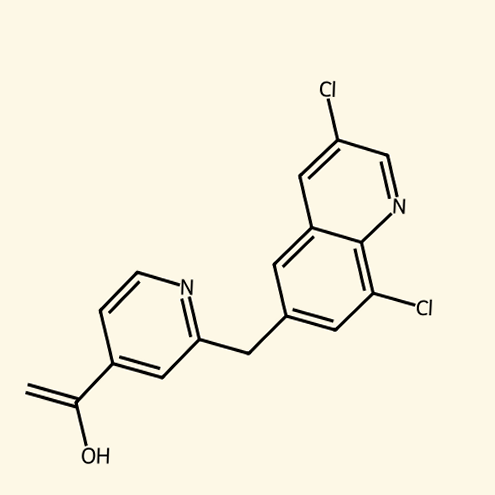 C=C(O)c1ccnc(Cc2cc(Cl)c3ncc(Cl)cc3c2)c1